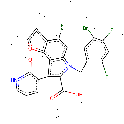 O=C(O)c1c(-c2ccc[nH]c2=O)c2c3occc3c(F)cc2n1Cc1cc(Br)c(F)cc1F